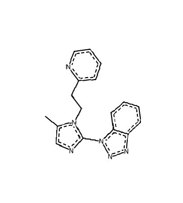 Cc1cnc(-n2nnc3ccccc32)n1CCc1ccccn1